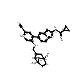 N#Cc1cc(-c2ccn3nc(NC(=O)C4CC4)cc3c2)c(OCC2C[C@H]3CC[C@@H](C2)N3)cn1